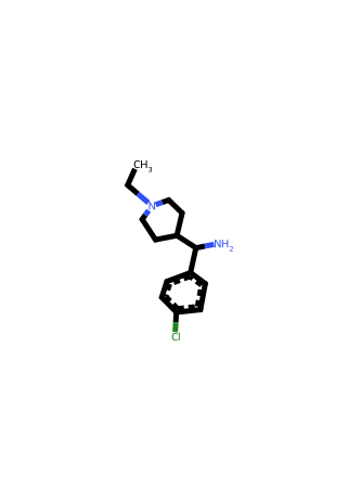 CCN1CCC(C(N)c2ccc(Cl)cc2)CC1